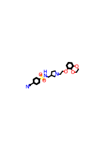 N#Cc1ccc(S(=O)(=O)NCC2CCN(CCOc3cccc4c3OCCO4)C2)cc1